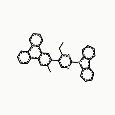 CCc1nc(-n2c3ccccc3c3ccccc32)ncc1-c1cc2c3ccccc3c3ccccc3c2cc1C